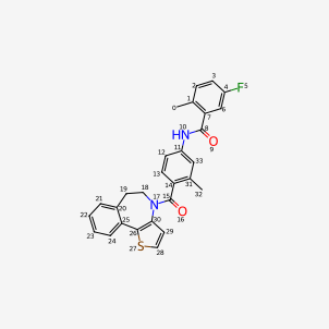 Cc1ccc(F)cc1C(=O)Nc1ccc(C(=O)N2CCc3ccccc3-c3sccc32)c(C)c1